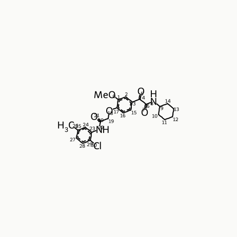 COc1cc(C(=O)C(=O)NC2CCCCC2)ccc1OCC(=O)Nc1cc(C)ccc1Cl